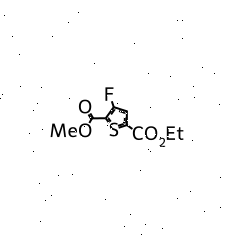 CCOC(=O)c1cc(F)c(C(=O)OC)s1